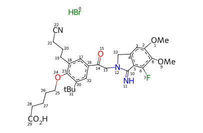 Br.COc1cc2c(c(F)c1OC)C(=N)N(CC(=O)c1cc(CCCC#N)c(OCCCCC(=O)O)c(C(C)(C)C)c1)C2